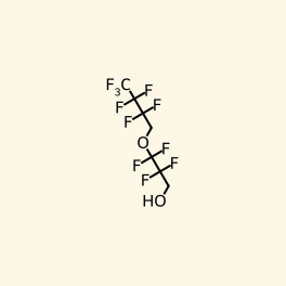 OCC(F)(F)C(F)(F)OCC(F)(F)C(F)(F)C(F)(F)F